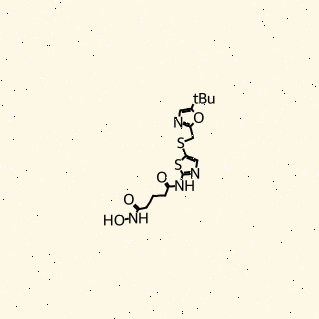 CC(C)(C)c1cnc(CSc2cnc(NC(=O)CCCC(=O)NO)s2)o1